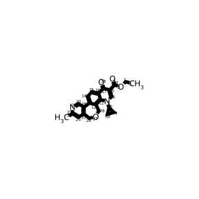 CCOC(=O)c1cn(C2CC2)c2c3c(ccc2c1=O)-c1cnc(C)cc1COC3